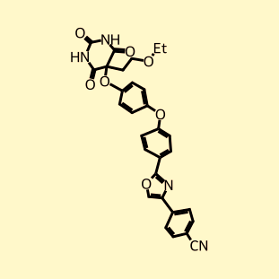 CCOCCC1(Oc2ccc(Oc3ccc(-c4nc(-c5ccc(C#N)cc5)co4)cc3)cc2)C(=O)NC(=O)NC1=O